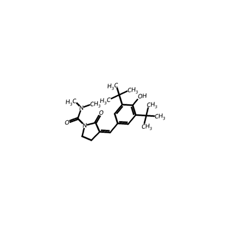 CN(C)C(=O)N1CCC(=Cc2cc(C(C)(C)C)c(O)c(C(C)(C)C)c2)C1=O